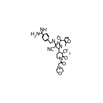 Cc1occc1C(=O)n1nc(C2CCN(C(=O)CN3CCOCC3)C(=O)C2C(F)(F)F)c(C#N)c1N(C)Cc1ccc(C(=N)N)cc1